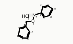 Cl.c1ccc(CONc2ccccc2)cc1